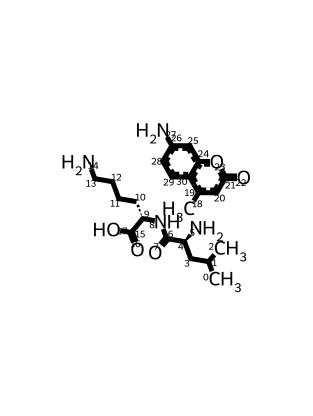 CC(C)C[C@H](N)C(=O)N[C@@H](CCCCN)C(=O)O.Cc1cc(=O)oc2cc(N)ccc12